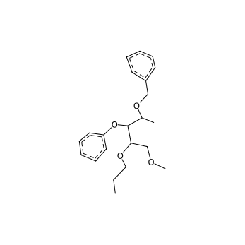 CCCOC(COC)C(Oc1ccccc1)C(C)OCc1ccccc1